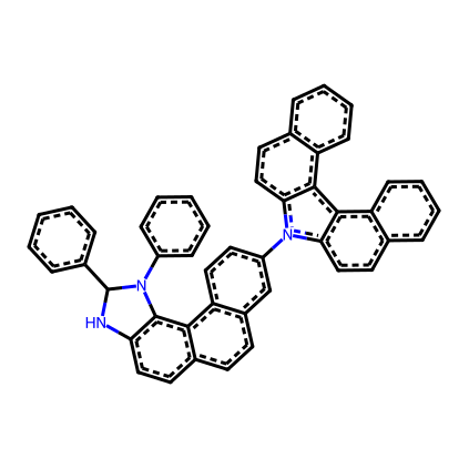 c1ccc(C2Nc3ccc4ccc5cc(-n6c7ccc8ccccc8c7c7c8ccccc8ccc76)ccc5c4c3N2c2ccccc2)cc1